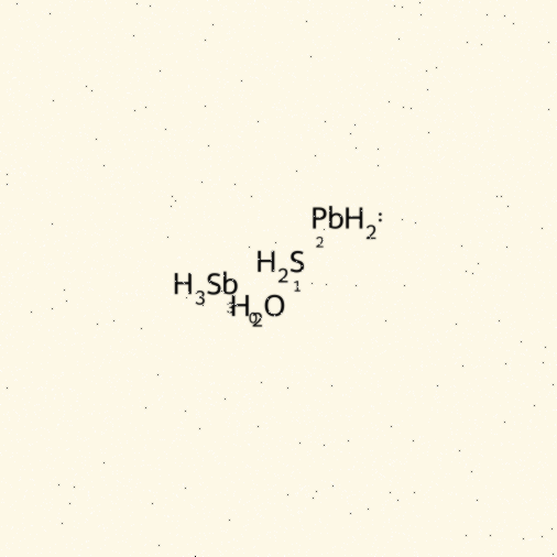 O.S.[PbH2].[SbH3]